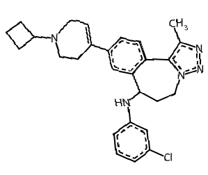 Cc1nnn2c1-c1ccc(C3=CCN(C4CCC4)CC3)cc1C(Nc1cccc(Cl)c1)CC2